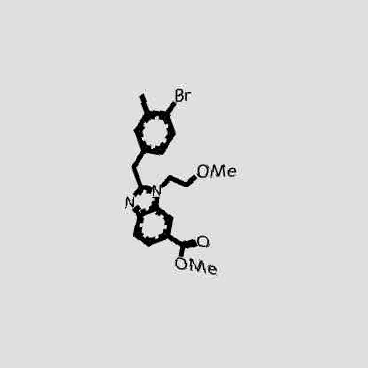 COCCn1c(Cc2ccc(Br)c(C)c2)nc2ccc(C(=O)OC)cc21